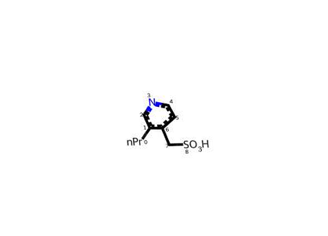 CCCc1cnccc1CS(=O)(=O)O